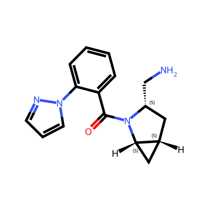 NC[C@@H]1C[C@@H]2C[C@@H]2N1C(=O)c1ccccc1-n1cccn1